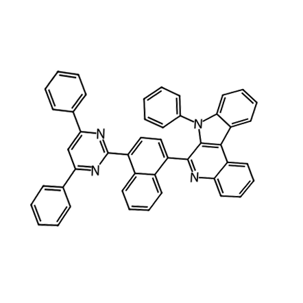 c1ccc(-c2cc(-c3ccccc3)nc(-c3ccc(-c4nc5ccccc5c5c6ccccc6n(-c6ccccc6)c45)c4ccccc34)n2)cc1